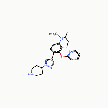 C[C@H]1CCc2c(ccc(-c3cnn(C4CCNCC4)c3)c2Oc2ccccn2)N1C(=O)O